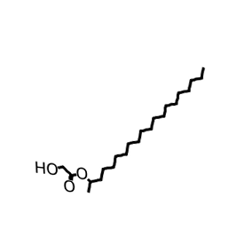 CCCCCCCCCCCCCCCCCCC(C)OC(=O)CO